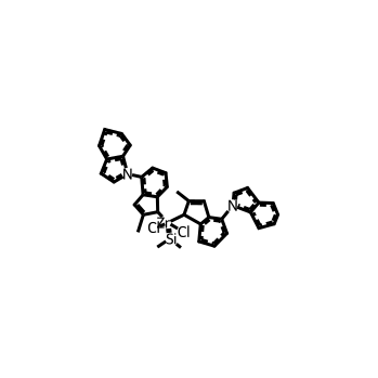 CC1=Cc2c(cccc2-n2ccc3ccccc32)[CH]1[Zr]([Cl])([Cl])([CH]1C(C)=Cc2c1cccc2-n1ccc2ccccc21)=[Si](C)C